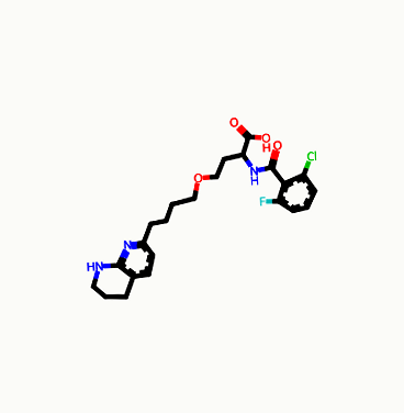 O=C(NC(CCOCCCCc1ccc2c(n1)NCCC2)C(=O)O)c1c(F)cccc1Cl